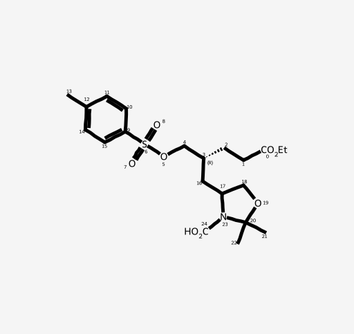 CCOC(=O)CC[C@@H](COS(=O)(=O)c1ccc(C)cc1)CC1COC(C)(C)N1C(=O)O